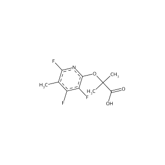 Cc1c(F)nc(OC(C)(C)C(=O)O)c(F)c1F